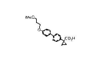 COCCCOc1ccc(-c2ccc(C3(C(=O)O)CC3)cc2)cc1